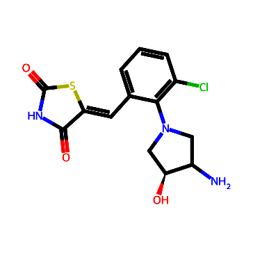 NC1CN(c2c(Cl)cccc2/C=C2\SC(=O)NC2=O)C[C@@H]1O